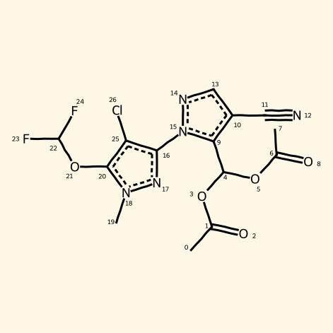 CC(=O)OC(OC(C)=O)c1c(C#N)cnn1-c1nn(C)c(OC(F)F)c1Cl